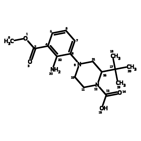 COC(=O)c1cccc(N2CCN(C(=O)O)C(C(C)(C)C)C2)c1N